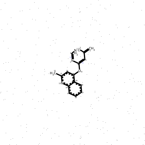 C=C(Cl)/C=C(\N=C/N)Oc1cc(C)nc2ccccc12